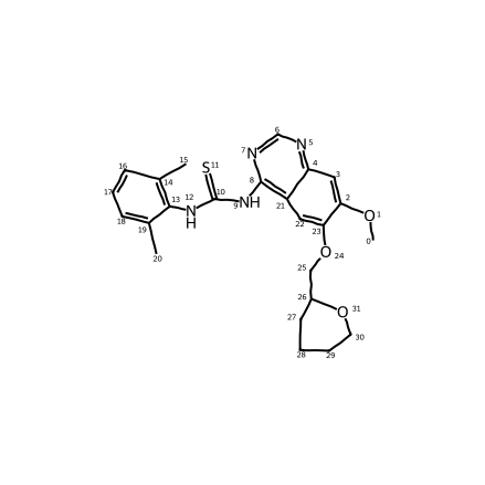 COc1cc2ncnc(NC(=S)Nc3c(C)cccc3C)c2cc1OCC1CCCCO1